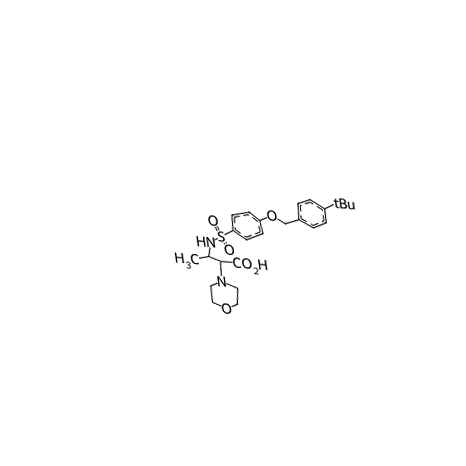 CC(NS(=O)(=O)c1ccc(OCc2ccc(C(C)(C)C)cc2)cc1)C(C(=O)O)N1CCOCC1